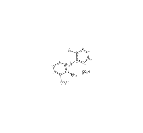 CCOC(=O)c1ncccc1N.CCc1ccnc(C(=O)O)c1N